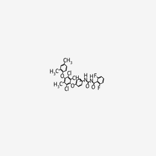 Cc1ccc(Oc2c(C)c(Cl)c(Oc3ccc(NC(=O)NC(=O)c4c(F)cccc4F)cc3)c(C)c2Cl)c(C)c1